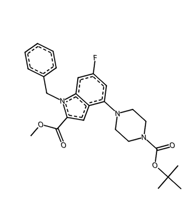 COC(=O)c1cc2c(N3CCN(C(=O)OC(C)(C)C)CC3)cc(F)cc2n1Cc1ccccc1